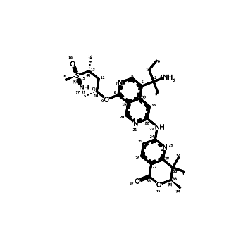 CCC(C)(N)c1cnc(O[C@H](C)C[C@@H](C)[S@](C)(=N)=O)c2cnc(Nc3ccc4c(n3)C(C)(C)[C@@H](C)OC4=O)cc12